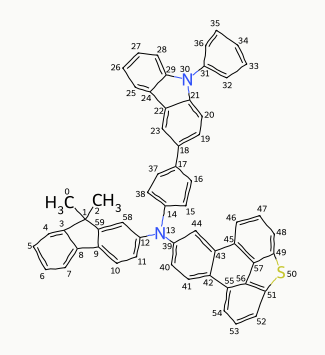 CC1(C)c2ccccc2-c2ccc(N(c3ccc(-c4ccc5c(c4)c4ccccc4n5-c4ccccc4)cc3)c3ccc4c(c3)c3cccc5sc6cccc4c6c53)cc21